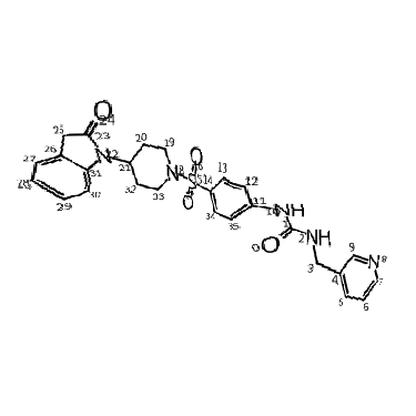 O=C(NCc1cccnc1)Nc1ccc(S(=O)(=O)N2CCC(N3C(=O)Cc4ccccc43)CC2)cc1